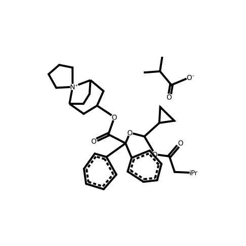 CC(C)C(=O)[O-].CC(C)CC(=O)OC(OC(C(=O)OC1CC2CCC(C1)[N+]21CCCC1)(c1ccccc1)c1ccccc1)C1CC1